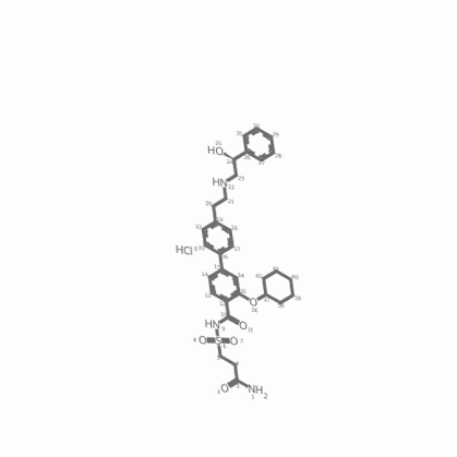 Cl.NC(=O)CCS(=O)(=O)NC(=O)c1ccc(-c2ccc(CCNC[C@@H](O)c3ccccc3)cc2)cc1OC1CCCCC1